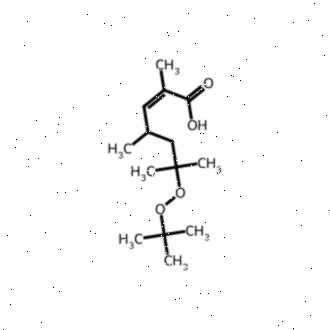 CC(=CC(C)CC(C)(C)OOC(C)(C)C)C(=O)O